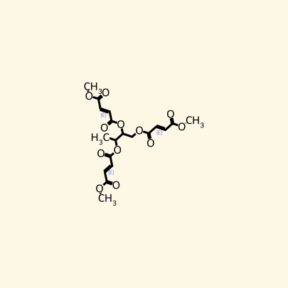 COC(=O)/C=C/C(=O)OCC(OC(=O)/C=C/C(=O)OC)C(C)OC(=O)/C=C/C(=O)OC